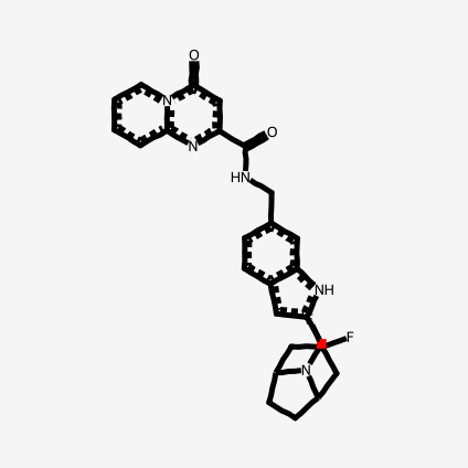 O=C(NCc1ccc2cc(CN3C4CCC3CC(F)(F)C4)[nH]c2c1)c1cc(=O)n2ccccc2n1